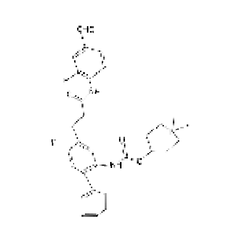 C[N+]1(C)CCC(OC(=O)Nc2cc(CCC(=O)Nc3ccc(C=O)cc3F)ccc2-c2ccccc2)CC1.[I-]